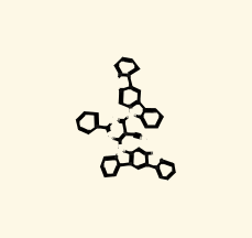 N#Cc1c(-n2c3ccccc3c3cc4c(cc32)oc2ccccc24)nc(-c2ccccc2)nc1-n1c2ccccc2c2cc3c(cc21)oc1ccccc13